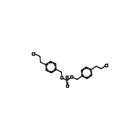 O=[PH](OCc1ccc(CCCl)cc1)OCc1ccc(CCCl)cc1